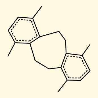 Cc1ccc(C)c2c1CCc1c(C)ccc(C)c1CC2